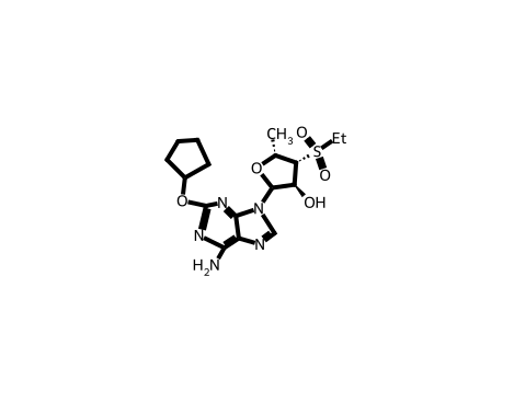 CCS(=O)(=O)[C@H]1[C@@H](C)OC(n2cnc3c(N)nc(OC4CCCC4)nc32)[C@@H]1O